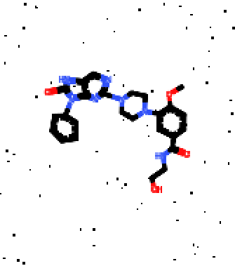 COc1ccc(C(=O)NCCO)cc1N1CCN(c2ncc3[nH]c(=O)n(-c4ccccc4)c3n2)CC1